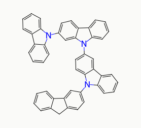 c1ccc2c(c1)Cc1ccc(-n3c4ccccc4c4cc(-n5c6ccccc6c6ccc(-n7c8ccccc8c8ccccc87)cc65)ccc43)cc1-2